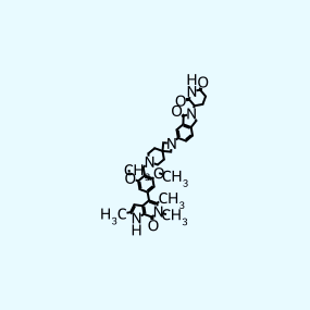 COc1cc(-c2c(C)n(C)c(=O)c3[nH]c(C)cc23)cc(OC)c1CN1CCC2(CC1)CN(c1ccc3c(c1)C(=O)N(C1CCC(=O)NC1=O)C3)C2